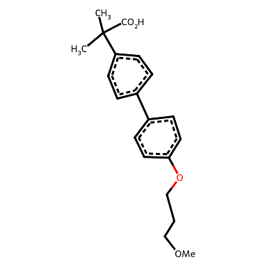 COCCCOc1ccc(-c2ccc(C(C)(C)C(=O)O)cc2)cc1